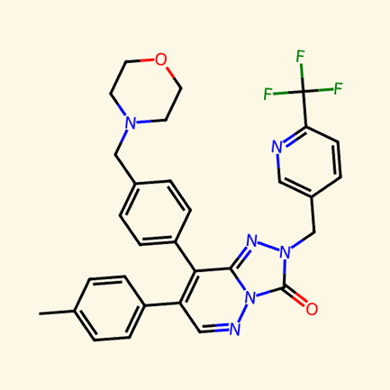 Cc1ccc(-c2cnn3c(=O)n(Cc4ccc(C(F)(F)F)nc4)nc3c2-c2ccc(CN3CCOCC3)cc2)cc1